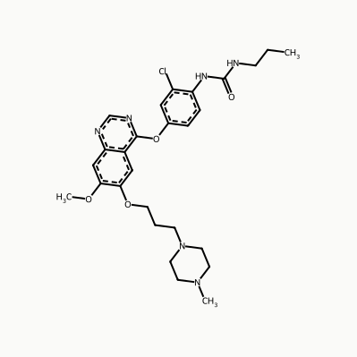 CCCNC(=O)Nc1ccc(Oc2ncnc3cc(OC)c(OCCCN4CCN(C)CC4)cc23)cc1Cl